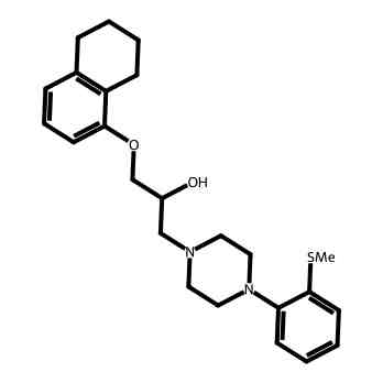 CSc1ccccc1N1CCN(CC(O)COc2cccc3c2CCCC3)CC1